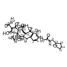 C[C@@H]1c2ccc(NCC(=O)NCC3CCCO3)c(O)c2C(=O)C2=C(O)[C@@]3(O)C(=O)C(C(N)=O)=C(O)[C@@H](N(C)C)[C@H]3[C@H](O)[C@H]21